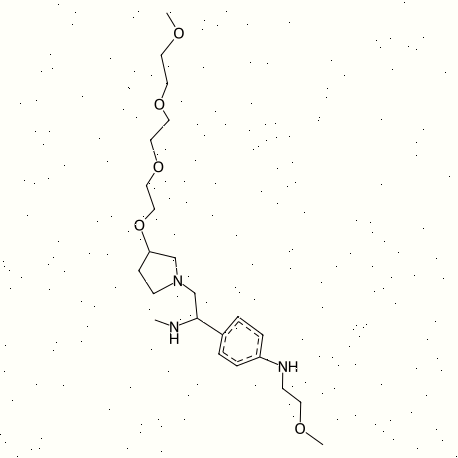 CNC(CN1CCC(OCCOCCOCCOC)C1)c1ccc(NCCOC)cc1